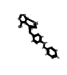 Clc1ncnc2[nH]cc(Cc3ccc(OCc4ccccc4)cc3)c12